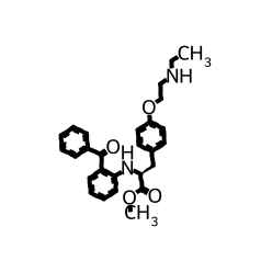 CCNCCOc1ccc(C[C@H](Nc2ccccc2C(=O)c2ccccc2)C(=O)OC)cc1